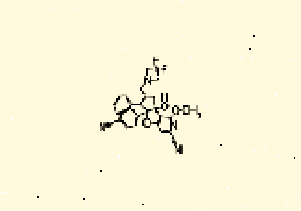 COc1nc(C#N)cc2c1C1(O)C[C@H](CN3CC(F)(F)C3)C(c3ccccc3)C1(c1ccc(C#N)cc1)O2